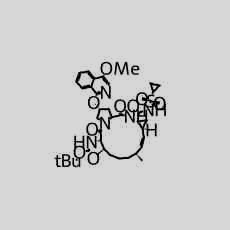 COc1cnc(O[C@@H]2CC3C(=O)N[C@]4(C(=O)NS(=O)(=O)C5CC5)C[C@H]4/C=C\[C@@H](C)CCC[C@@H](C)[C@H](NC(=O)OC(C)(C)C)C(=O)N3C2)c2ccccc12